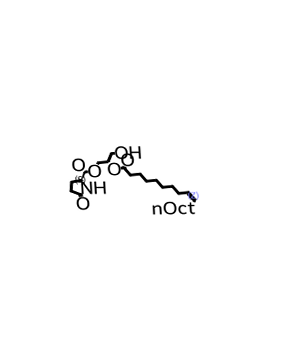 CCCCCCCC/C=C\CCCCCCCC(=O)OC(CO)COC(=O)[C@@H]1CCC(=O)N1